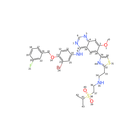 COc1cc2ncnc(Nc3ccc(OCc4cccc(F)c4)c(Br)c3)c2cc1-c1csc(CCNCCS(=O)(=O)C(C)C)n1